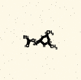 CCC(=O)ON=C1CC(C)CC(C)C1